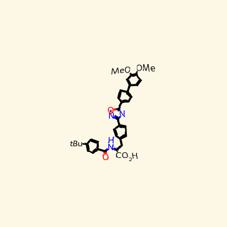 COc1ccc(-c2ccc(-c3nc(-c4ccc(C[C@H](NC(=O)c5ccc(C(C)(C)C)cc5)C(=O)O)cc4)no3)cc2)cc1OC